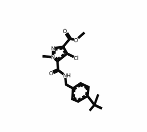 COC(=O)c1nn(C)c(C(=O)NCc2ccc(C(C)(C)C)cc2)c1Cl